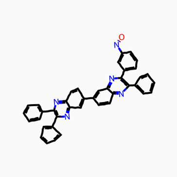 O=Nc1cccc(-c2nc3cc(-c4ccc5nc(-c6ccccc6)c(-c6ccccc6)nc5c4)ccc3nc2-c2ccccc2)c1